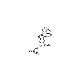 COc1cc2c(Nc3c(F)ccc(O)c3C)ncnc2cc1OCCCN(C)C(C)C